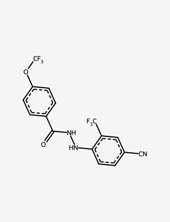 N#Cc1ccc(NNC(=O)c2ccc(OC(F)(F)F)cc2)c(C(F)(F)F)c1